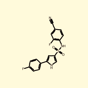 N#Cc1ccc(NS(=O)(=O)c2c[nH]c(-c3ccc(F)cc3)c2)c(F)c1